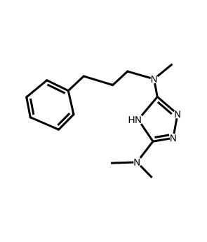 CN(C)c1nnc(N(C)CCCc2ccccc2)[nH]1